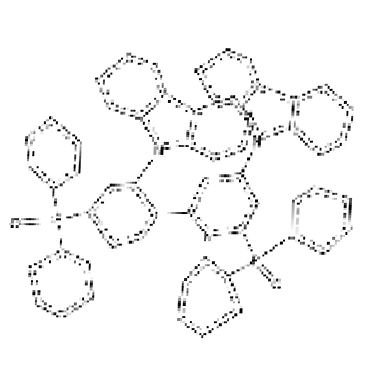 O=P(c1ccccc1)(c1ccccc1)c1ccc(-c2cc(-n3c4ccccc4c4ccccc43)cc(P(=O)(c3ccccc3)c3ccccc3)n2)c(-n2c3ccccc3c3ccccc32)c1